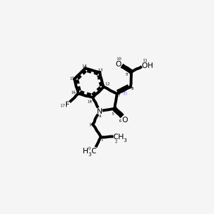 CC(C)CN1C(=O)/C(=C/C(=O)O)c2cccc(F)c21